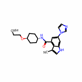 COCCO[C@H]1CC[C@H](NC(=O)c2cc(-n3ccnc3)cc3[nH]cc(C#N)c23)CC1